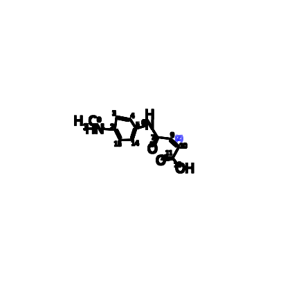 CNc1ccc(NC(=O)/C=C\C(=O)O)cc1